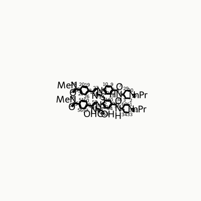 CCCN1CCC(NC(=O)c2ccc3c(c2)sc2nc(-c4ccc(C(=O)NC)cc4)cn23)CC1.CCCN1CCC(NC(=O)c2ccc3c(c2)sc2nc(-c4ccc(C(=O)NC)cc4)cn23)CC1.O=CO